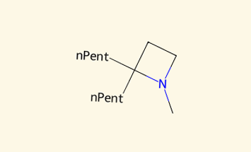 CCCCCC1(CCCCC)CCN1C